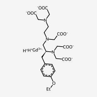 CCOc1ccc(C[C@@H](CN(CCN(CC(=O)[O-])CC(=O)[O-])CC(=O)[O-])N(CC(=O)[O-])CC(=O)[O-])cc1.[Gd+3].[H+].[H+]